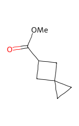 COC(=O)C1CC2(CC2)C1